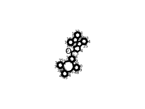 O=C(C1=CCC2C(=C1)C1(c3ccccc3-c3ccccc31)c1ccccc12)c1ccc2c(c1)Cc1ccccc1-c1ccccc1Cc1ccccc1-2